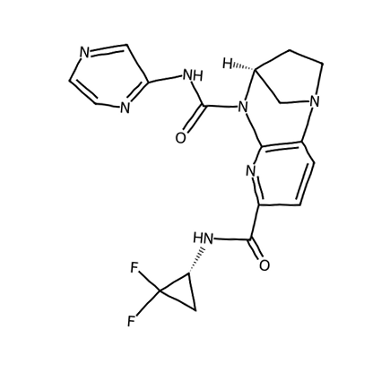 O=C(N[C@@H]1CC1(F)F)c1ccc2c(n1)N(C(=O)Nc1cnccn1)[C@H]1CCN2C1